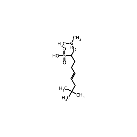 C[SiH](C)OC(CCC=CCC(C)(C)C)S(=O)(=O)O